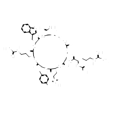 CC(=O)N[C@@H](CCCNC(=N)N)C(=O)N[C@H]1CCC(=O)NCCC[C@@H](C(N)=O)NC(=O)[C@H](Cc2c[nH]c3ccccc23)NC(=O)[C@H](CCCNC(=N)N)NC(=O)[C@@H](Cc2ccc(F)cc2)NC(=O)[C@H](CCS(C)(=O)=O)NC1=O